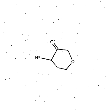 O=C1COCCC1S